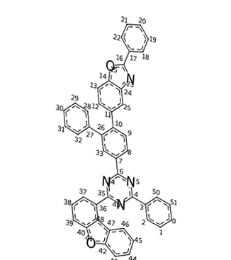 c1ccc(-c2nc(-c3ccc(-c4ccc5oc(-c6ccccc6)nc5c4)c(-c4ccccc4)c3)nc(-c3cccc4oc5ccccc5c34)n2)cc1